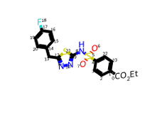 CCOC(=O)c1ccc(S(=O)(=O)Nc2nnc(Cc3ccc(F)cc3)s2)cc1